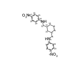 O=[N+]([O-])c1ccc(NCC2CCCC(CNc3ccc([N+](=O)[O-])cc3)C2)cc1